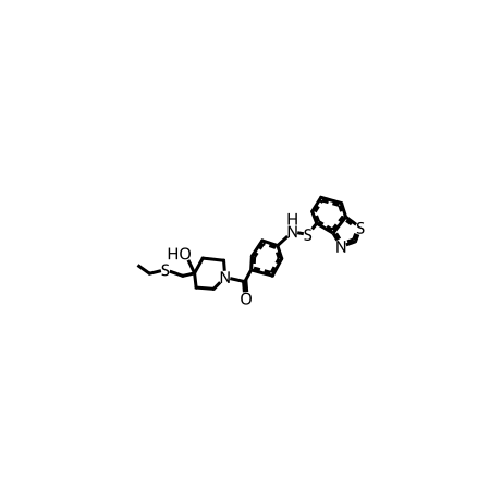 CCSCC1(O)CCN(C(=O)c2ccc(NSc3cccc4scnc34)cc2)CC1